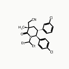 CCC(CC)N1C(=O)[C@](C)(CC#N)C[C@H](c2cccc(Cl)c2)[C@H]1c1ccc(Cl)cc1